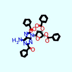 Nc1nc(C(=O)c2ccccc2)nc2c1ncn2[C@@H]1OC[C@@H](OC(=O)c2ccccc2)[C@@H](OC(=O)c2ccccc2)[C@H]1OC(=O)c1ccccc1